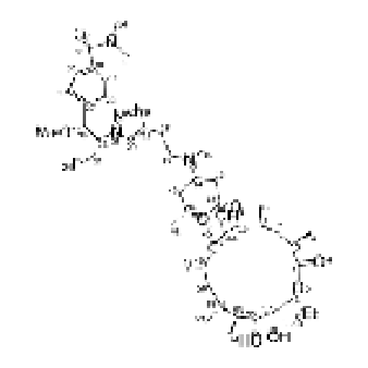 CC[C@H]1OC(=O)[C@H](C)C[C@H](C)[C@@H](O[C@H]2C[C@@H](N(C)CCc3cn([C@H](CF)[C@H](OC)c4ccc(C(=O)N(C)C)cc4)nn3)C[C@@H](C)O2)[C@](C)(O)C[C@@H](C)CN(C)[C@H](C)[C@@H](O)[C@]1(C)O